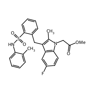 COC(=O)Cn1c(C)c(Cc2ccccc2S(=O)(=O)Nc2ccccc2C)c2cc(F)ccc21